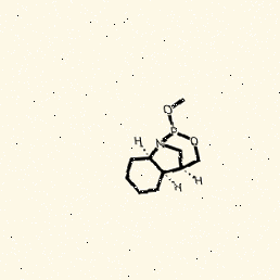 CO[P@@]1OC[C@@H]2CN1[C@@H]1CCCC[C@H]21